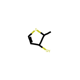 CC1SC=CC1S